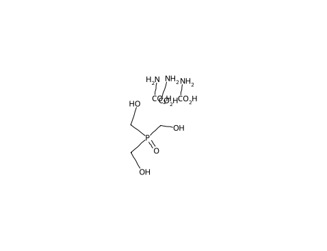 NC(=O)O.NC(=O)O.NC(=O)O.O=P(CO)(CO)CO